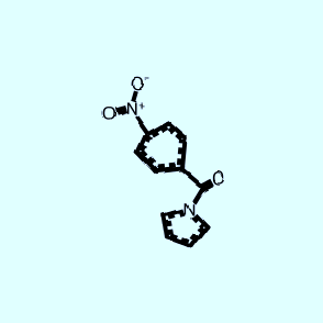 O=C(c1ccc([N+](=O)[O-])cc1)n1cccc1